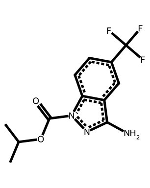 CC(C)OC(=O)n1nc(N)c2cc(C(F)(F)F)ccc21